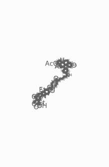 CCc1c2c(nc3ccc(OC(=O)N4CCN(C(=O)CCCCCN(C)c5ccc(C6CC7(C)[C@@H](CC[C@]7(OC(C)=O)C(C)=O)C7CCC8=CC(=O)CCC8=C67)cc5)CC4)cc13)-c1cc3c(c(=O)n1C2)COC(=O)[C@]3(O)CC